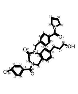 O=C(c1ccc(CN2C(=O)CN(C(=O)c3ccc(Cl)cc3)Cc3ccc(CCCO)cc32)cc1)N1CC=CC1